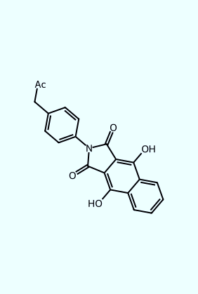 CC(=O)Cc1ccc(N2C(=O)c3c(c(O)c4ccccc4c3O)C2=O)cc1